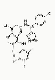 N#Cc1cnc2c(Cl)cc(N[C@@H](c3ccc(Cl)cc3)c3c[nH]nn3)cc2c1Nc1cc(F)c(F)cc1F